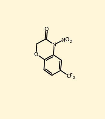 O=C1COc2ccc(C(F)(F)F)cc2N1[N+](=O)[O-]